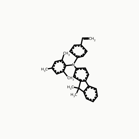 C=Cc1ccc(N(c2ccc3c(c2)C(C)(C)c2ccccc2-3)c2c(C)cc(C)cc2C)cc1